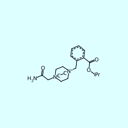 CC(C)OC(=O)c1ccccc1C[N+]12CC[N+](CC(N)=O)(CC1)CC2